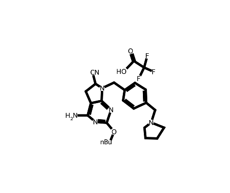 CCCCOc1nc(N)c2c(n1)N(Cc1ccc(CN3CCCC3)cc1)C(C#N)C2.O=C(O)C(F)(F)F